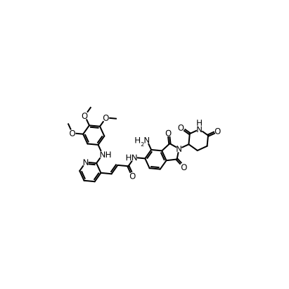 COc1cc(Nc2ncccc2/C=C/C(=O)Nc2ccc3c(c2N)C(=O)N(C2CCC(=O)NC2=O)C3=O)cc(OC)c1OC